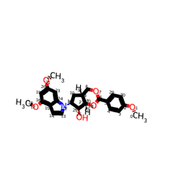 COc1ccc(C2OC[C@@H]3C[C@@H](n4ccc5c(OC)cc(OC)cc54)[C@H](O)[C@@H]3O2)cc1